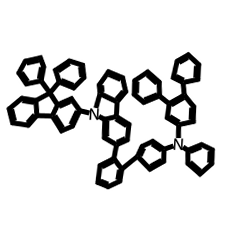 c1ccc(-c2ccc(N(c3ccccc3)c3ccc(-c4ccccc4-c4ccc5c6ccccc6n(-c6ccc7c(c6)C(c6ccccc6)(c6ccccc6)c6ccccc6-7)c5c4)cc3)cc2-c2ccccc2)cc1